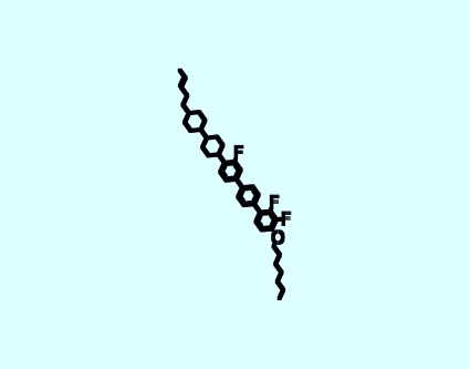 C/C=C/CCC1CCC(C2CCC(c3ccc(-c4ccc(-c5ccc(OCCCCCCC)c(F)c5F)cc4)cc3F)CC2)CC1